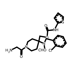 NCC(=O)N1CCC(COC(=O)Nc2cccs2)(N(C=O)Cc2ccccc2Cl)CC1